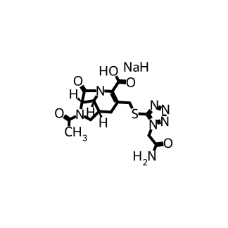 CC(=O)N1C[C@H]2CC(CSc3nnnn3CC(N)=O)=C(C(=O)O)N3C(=O)[C@@H]1[C@@H]23.[NaH]